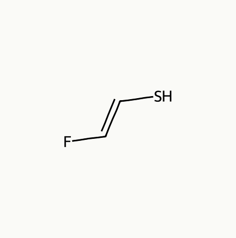 FC=CS